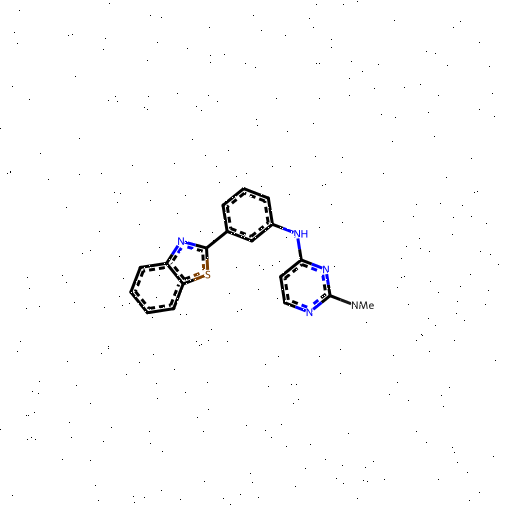 CNc1nccc(Nc2cccc(-c3nc4ccccc4s3)c2)n1